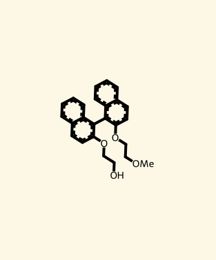 COCCOc1ccc2ccccc2c1-c1c(OCCO)ccc2ccccc12